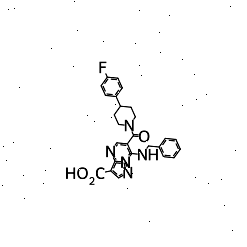 O=C(O)c1cnn2c(NCc3ccccc3)c(C(=O)N3CCC(c4ccc(F)cc4)CC3)cnc12